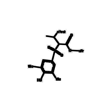 CCCCCC(C)C(C(=O)OCCC)S(=O)(=O)c1cc(C(C)(C)C)c(O)c(C(C)(C)C)c1